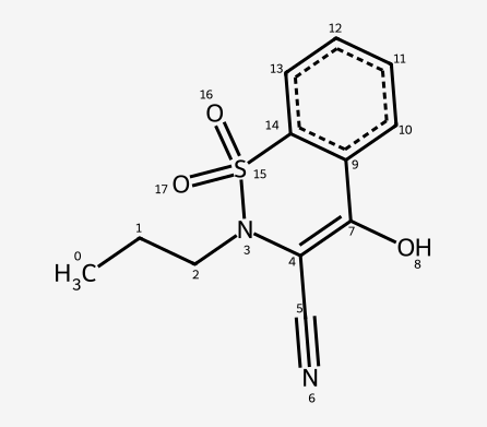 CCCN1C(C#N)=C(O)c2ccccc2S1(=O)=O